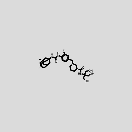 C[C@]12CC3CC(NC(=O)Nc4ccc(CN5CCC[C@H](C(=O)NC(CO)(CO)CO)C5)cc4F)(C1)C[C@@](C)(C3)C2